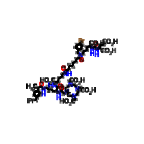 CC(C)Cc1ccc([C@H](C)C(=O)NCCCC[C@H](NC(=O)CN2CCN(CC(=O)O)CCN(CC(=O)O)CCN(CC(=O)O)CC2)C(=O)N[C@@H](CCCCNC(=O)CCCCCCC(=O)N(CCCC[C@H](NC(=O)N[C@@H](CCC(=O)O)C(=O)O)C(=O)O)Cc2ccc(Br)cc2)C(=O)O)cc1